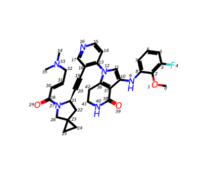 COc1c(F)cccc1Nc1cn(-c2ccncc2C#C[C@H]2CC3(CC3)CN2C(=O)/C=C/CN(C)C)c2c1C(=O)NCC2